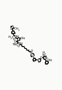 Cc1ncsc1-c1ccc(C(C)NC(=O)C2CC(O)CN2C(=O)C(NC(=O)CCCCCCCCC(=O)N2CCN(c3cccc(N4CCCC(Oc5cc(-c6ccccc6O)nnc5N)C4)c3)CC2)C(C)(C)C)cc1